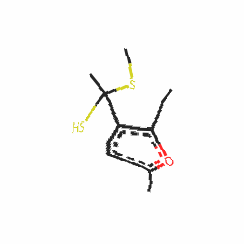 CSC(C)(S)c1cc(C)oc1C